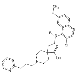 COc1ccc2ncc(Cl)c([C@@H](F)CCC3(C(=O)O)CCN(CCCc4ccccn4)CC3)c2c1